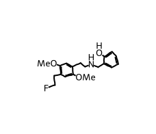 COc1cc(CCNCc2ccccc2O)c(OC)cc1CCF